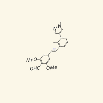 COc1cc(/C=C/c2cccc(-c3cnn(C)c3)c2C)cc(OC)c1C=O